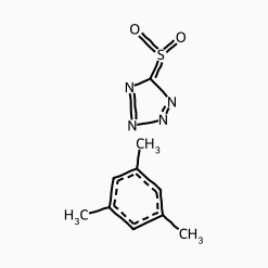 Cc1cc(C)cc(C)c1.O=S(=O)=C1N=NN=N1